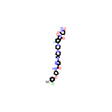 N#Cc1ccc(O[C@H]2CC[C@H](NC(=O)c3ccc(N4CC5(CCN(C6CCN(c7cc8c(cc7F)C(=O)N(C7CCC(=O)NC7=O)C8=O)CC6)CC5)C4)nn3)CC2)cc1Cl